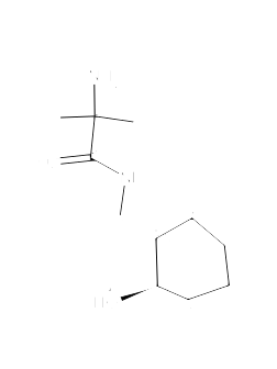 CC(C)(N)C(=O)NC[C@@H]1CCCC[C@H]1O